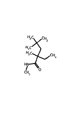 CCC(C)(CC(C)(C)C)C(=O)NC